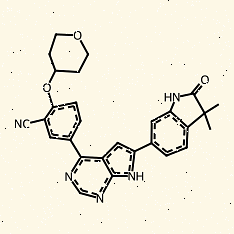 CC1(C)C(=O)Nc2cc(-c3cc4c(-c5ccc(OC6CCOCC6)c(C#N)c5)ncnc4[nH]3)ccc21